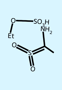 CC(N)=S(=O)=O.CCOS(=O)(=O)O